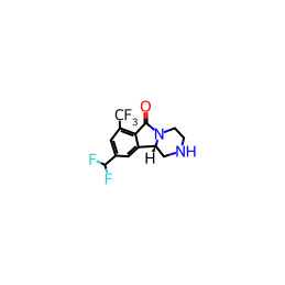 O=C1c2c(cc(C(F)F)cc2C(F)(F)F)[C@H]2CNCCN12